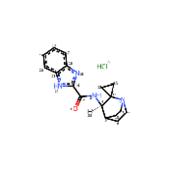 Cl.O=C(N[C@@H]1C2CCN(CC2)C12CC2)c1nc2ccccc2[nH]1